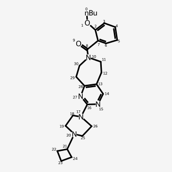 CCCCOc1ccccc1C(=O)N1CCc2cnc(N3CCN(C4CCC4)CC3)nc2CC1